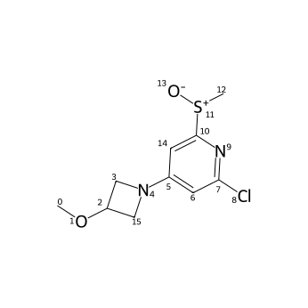 COC1CN(c2cc(Cl)nc([S+](C)[O-])c2)C1